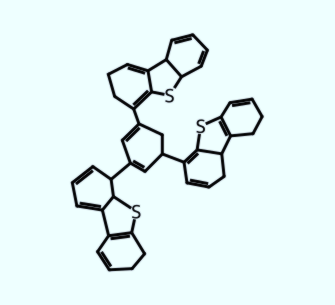 C1=CC2SC3=C(C4=CC(C5C=CC=C6C7=C(CCC=C7)SC65)=CC(C5=C6SC7=C(CCC=C7)C6CC=C5)C4)CCC=C3C2C=C1